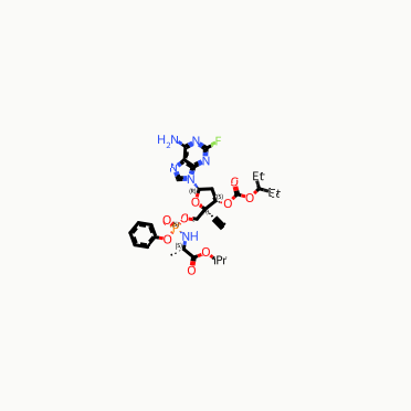 C#C[C@]1(CO[P@@](=O)(N[C@@H](C)C(=O)OC(C)C)Oc2ccccc2)O[C@@H](n2cnc3c(N)nc(F)nc32)C[C@@H]1OC(=O)OC(CC)CC